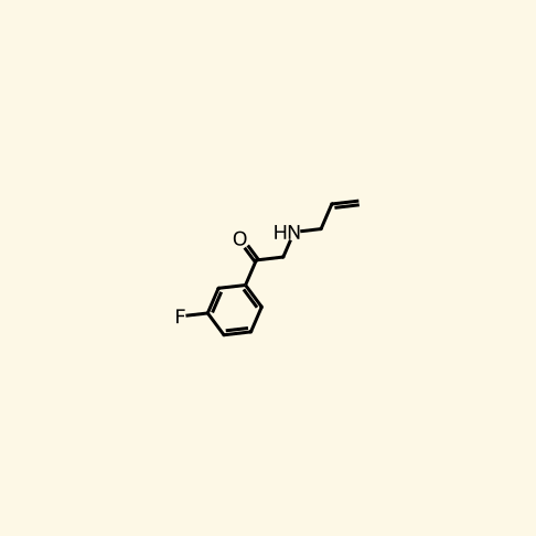 C=CCNCC(=O)c1cccc(F)c1